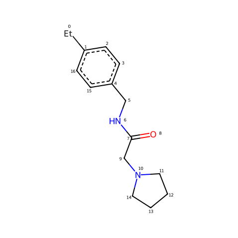 CCc1ccc(CNC(=O)CN2CCCC2)cc1